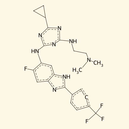 CN(C)CCNc1nc(Nc2cc3[nH]c(-c4ccc(C(F)(F)F)cc4)nc3cc2F)nc(C2CC2)n1